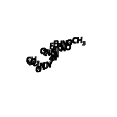 C/C=C\C(=O)CCC(=O)N1CCN(Cc2cc3c(N4CCOCC4)nc(-c4cnc(NC(=O)OCC)cc4C(F)(F)F)nn3c2)CC1